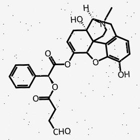 CN1CCC23c4c5ccc(O)c4OC2C(OC(=O)[C@@H](OC(=O)CCC=O)c2ccccc2)=CC[C@@]3(O)[C@H]1C5